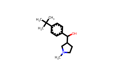 CN1CCC(C(O)c2ccc(C(C)(C)C)cc2)C1